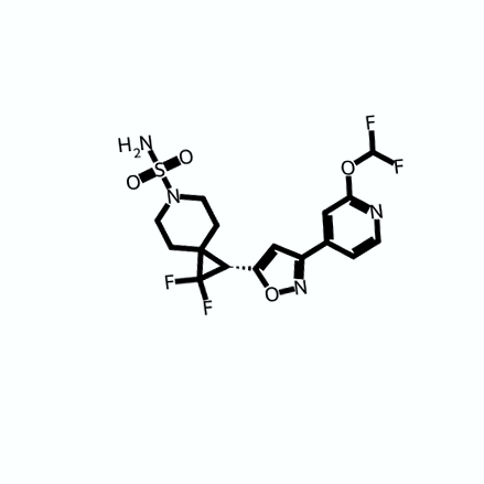 NS(=O)(=O)N1CCC2(CC1)[C@H](c1cc(-c3ccnc(OC(F)F)c3)no1)C2(F)F